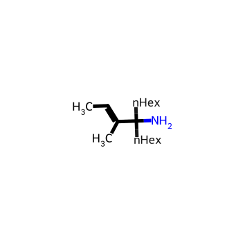 CC=C(C)C(N)(CCCCCC)CCCCCC